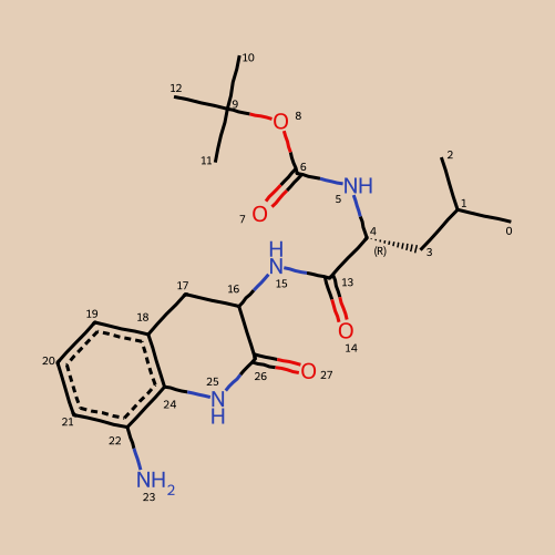 CC(C)C[C@@H](NC(=O)OC(C)(C)C)C(=O)NC1Cc2cccc(N)c2NC1=O